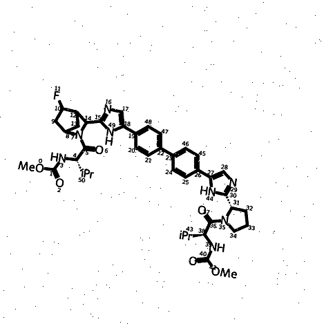 COC(=O)N[C@H](C(=O)N1C2CC(F)C(C2)C1c1ncc(-c2ccc(-c3ccc(-c4cnc([C@@H]5CCCN5C(=O)[C@@H](NC(=O)OC)C(C)C)[nH]4)cc3)cc2)[nH]1)C(C)C